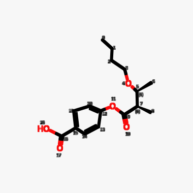 CCCCO[C@@H](C)[C@@H](C)C(=O)Oc1ccc(C(=O)O)cc1